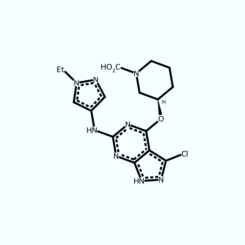 CCn1cc(Nc2nc(O[C@@H]3CCCN(C(=O)O)C3)c3c(Cl)n[nH]c3n2)cn1